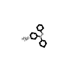 O.O.[B](c1ccccc1)N(c1ccccc1)c1ccccc1